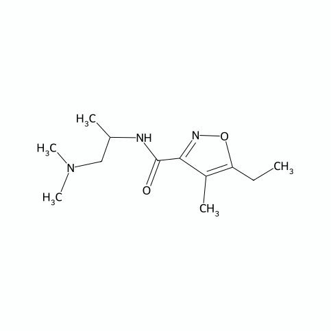 CCc1onc(C(=O)NC(C)CN(C)C)c1C